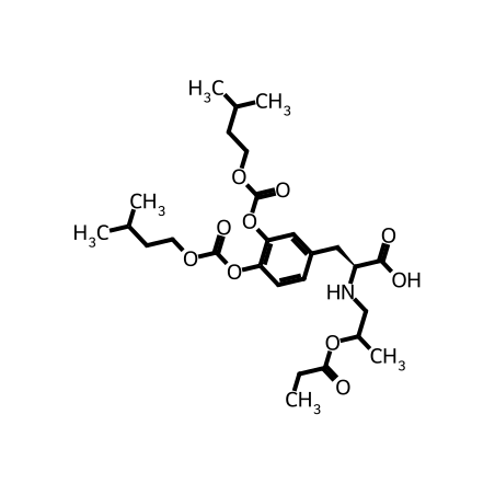 CCC(=O)OC(C)CN[C@@H](Cc1ccc(OC(=O)OCCC(C)C)c(OC(=O)OCCC(C)C)c1)C(=O)O